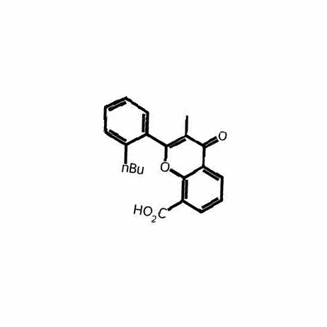 CCCCc1ccccc1-c1oc2c(C(=O)O)cccc2c(=O)c1C